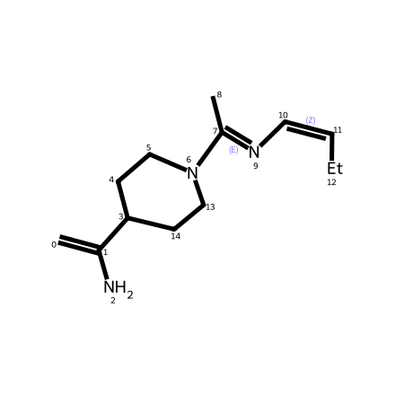 C=C(N)C1CCN(/C(C)=N/C=C\CC)CC1